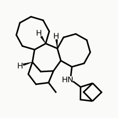 CC1CC[C@H]2CC1C1C(NC3CC4CC3C4)CCCCC[C@H]1[C@H]1CCCCCCC21